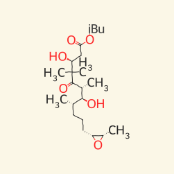 CCC(C)OC(=O)C[C@H](O)C(C)(C)C(=O)[C@H](C)[C@@H](O)[C@@H](C)CCC[C@H]1O[C@H]1C